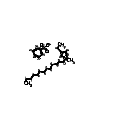 CCCCCCCCCCCCC[N+]1(C)C=CN(CC)C1.O=S(=O)([O-])c1ccccc1